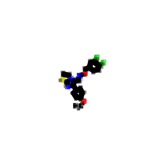 COc1ccc(-c2nc3sccn3c2/C=N/OCc2ccc(Cl)c(Cl)c2)cc1